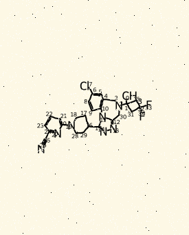 CC1(N2Cc3cc(Cl)ccc3-n3c(nnc3C3CCN(c4cccc(C#N)n4)CC3)C2)CC(F)(F)C1